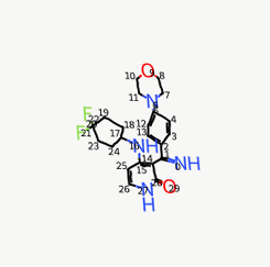 N=C(c1ccc(N2CCOCC2)cc1)c1c(NC2CCC(F)(F)CC2)cc[nH]c1=O